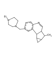 CCN1CCN(Cc2ccc3c(c2)C2C(C=N3)C(C)C3CC32)CC1